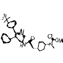 COC(=O)N(C)[C@H]1CC[C@H](CC(=O)Nc2cnc(-c3ccc(C(C)(C)N)cc3)c(-c3ccccc3)c2)CC1